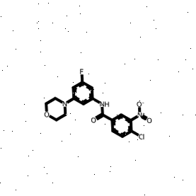 O=C(Nc1cc(F)cc(N2CCOCC2)c1)c1ccc(Cl)c([N+](=O)[O-])c1